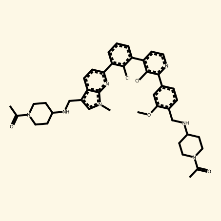 COc1cc(-c2nccc(-c3cccc(-c4ccc5c(CNC6CCN(C(C)=O)CC6)cn(C)c5n4)c3Cl)c2Cl)ccc1CNC1CCN(C(C)=O)CC1